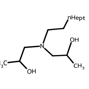 CCCCCCCCCN(CC(C)O)CC(C)O